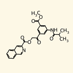 COC(=O)c1cc(NC(=O)C(C)C)cc(C(=O)COC(=O)c2cc3ccccc3cn2)c1